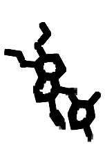 CCOc1ccc2c(Nc3ccc(F)cc3C)c(C#N)cnc2c1OCC